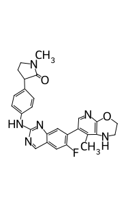 Cc1c(-c2cc3nc(Nc4ccc(C5CCN(C)C5=O)cc4)ncc3cc2F)cnc2c1NCCO2